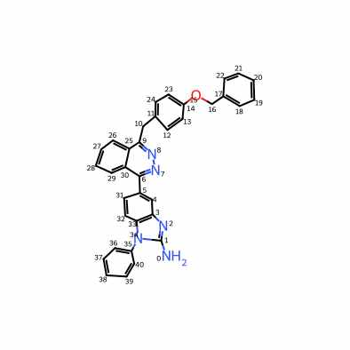 Nc1nc2cc(-c3nnc(Cc4ccc(OCc5ccccc5)cc4)c4ccccc34)ccc2n1-c1ccccc1